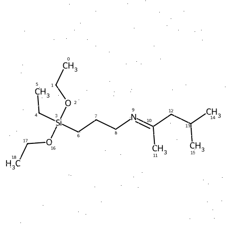 CCO[Si](CC)(CCC/N=C(\C)CC(C)C)OCC